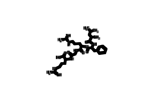 CC(C)CC(N)C(=O)NC(Cc1ccccc1)C(=O)NC(CCCNC(=N)N)C(=O)NCC(=O)NC(CCCNC(=N)N)C(=O)O